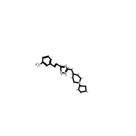 FC(F)(F)c1cccc(/C=C/c2nc(CC3CCN(C4CCCC4)CC3)no2)c1